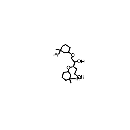 CC(C)C1(C)CCCC(OCC(O)C(CCO)OC2CCCC(C)(C(C)C)C2)C1